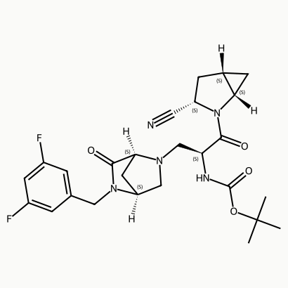 CC(C)(C)OC(=O)N[C@@H](CN1C[C@@H]2C[C@H]1C(=O)N2Cc1cc(F)cc(F)c1)C(=O)N1[C@H](C#N)C[C@@H]2C[C@@H]21